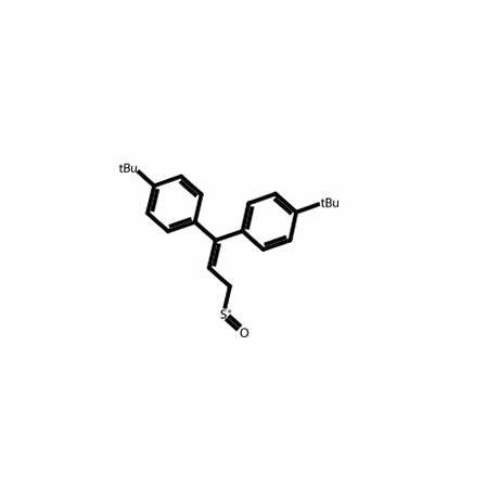 CC(C)(C)c1ccc(C(=CC[S+]=O)c2ccc(C(C)(C)C)cc2)cc1